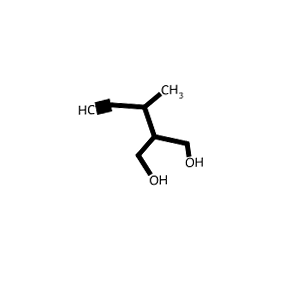 C#CC(C)C(CO)CO